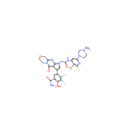 CN1CCN(c2cc(NC(=O)Cn3cc(-c4cc(C(N)=O)c(O)c(F)c4F)c4c(=O)n5c(nc43)COCC5)c(Cl)c(F)n2)CC1